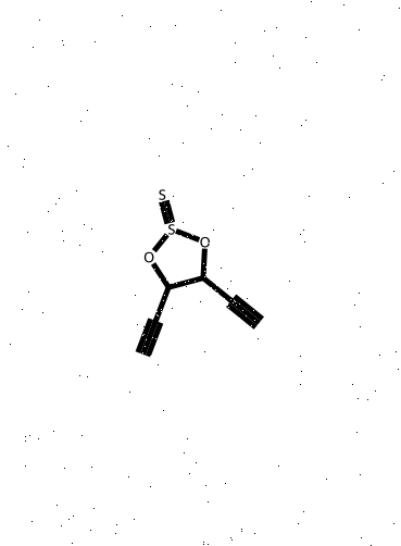 C#CC1OS(=S)OC1C#C